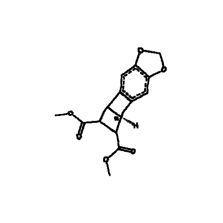 COC(=O)C1C(C(=O)OC)[C@@H]2c3cc4c(cc3C12)OCO4